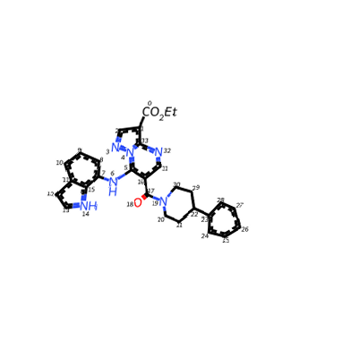 CCOC(=O)c1cnn2c(Nc3cccc4cc[nH]c34)c(C(=O)N3CCC(c4ccccc4)CC3)cnc12